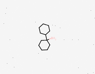 BC1(C2CCCCC2)CCCCC1